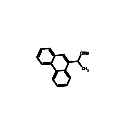 COC(C)c1cc2ccccc2c2ccccc12